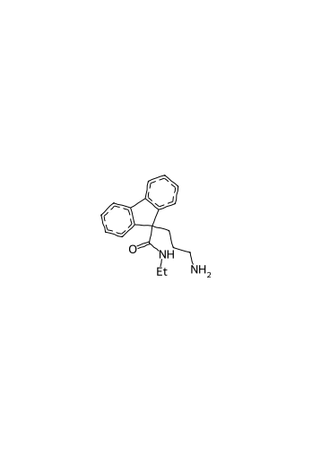 CCNC(=O)C1(CCCN)c2ccccc2-c2ccccc21